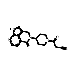 N#CCC(=O)N1CCC(N2Cc3c[nH]c4nccc(c34)C2=O)CC1